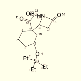 CC[Si](CC)(CC)OC1CCCC(C(=O)OCC(C)C)(C2CC(=O)N2)C1